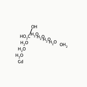 O.O.O.O.O.O.O.O.O=C(O)O.[Gd]